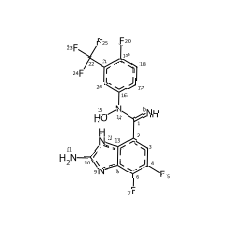 N=C(c1cc(F)c(F)c2nc(N)[nH]c12)N(O)c1ccc(F)c(C(F)(F)F)c1